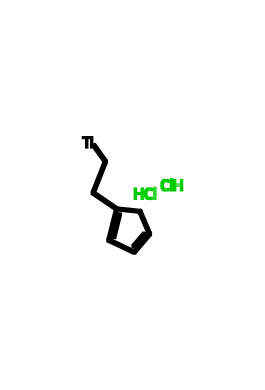 Cl.Cl.[Ti][CH2]CC1=CC=CC1